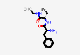 CC(C)C[C@H](NC(=O)[C@@H](N)Cc1ccccc1)C(=O)NC[C]=O